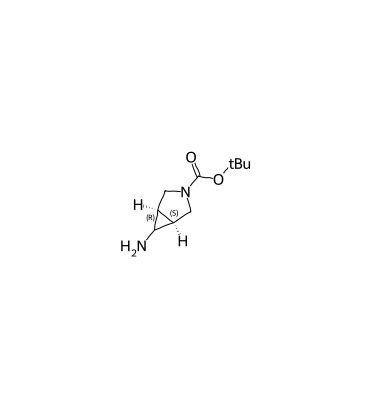 CC(C)(C)OC(=O)N1C[C@@H]2C(N)[C@@H]2C1